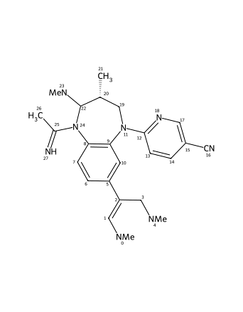 CN/C=C(\CNC)c1ccc2c(c1)N(c1ccc(C#N)cn1)C[C@@H](C)C(NC)N2C(C)=N